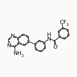 Nc1ncnc2ccc(-c3cccc(NC(=O)c4cccc(C(F)(F)F)c4)c3)cc12